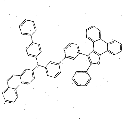 c1ccc(-c2ccc(N(c3cccc(-c4cccc(-c5c(-c6ccccc6)oc6c7ccccc7c7ccccc7c56)c4)c3)c3ccc4c(ccc5ccccc54)c3)cc2)cc1